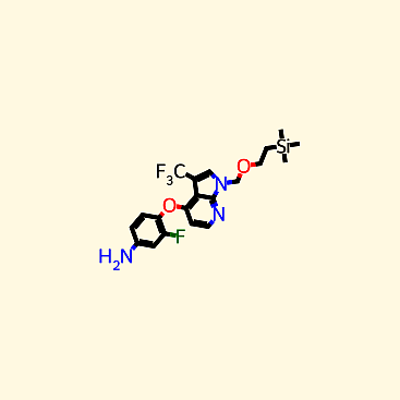 C[Si](C)(C)CCOCn1cc(C(F)(F)F)c2c(Oc3ccc(N)cc3F)ccnc21